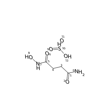 NC(=O)CCC(=O)NO.O=[SH](=O)O